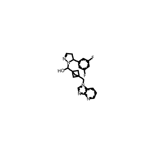 OC(N1N=CCC1c1cc(F)cc(F)c1)C12CC(Cn3cnc4ncccc43)(C1)C2